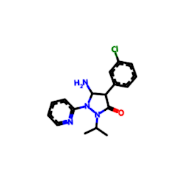 CC(C)N1C(=O)C(c2cccc(Cl)c2)C(N)N1c1ccccn1